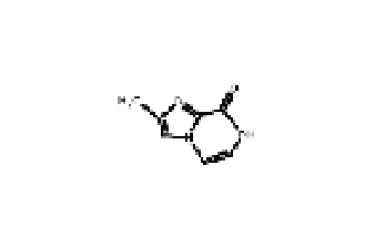 Cc1cn2cc[nH]c(=O)c2n1